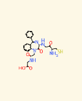 NC(CS)C(=O)CNC1N=C(c2ccccc2)c2ccccc2N(CC(=O)NCC(=O)O)C1=O